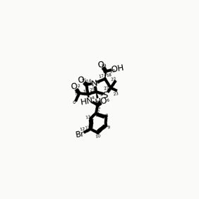 CC(=O)[C@]1(NC(=O)c2cccc(Br)c2)C(=O)N2[C@@H](C(=O)O)C(C)(C)S[C@@H]21